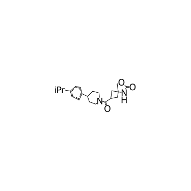 CC(C)c1ccc(C2CCN(C(=O)C3CC4(COC(=O)N4)C3)CC2)cc1